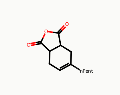 CCCCCC1=CCC2C(=O)OC(=O)C2C1